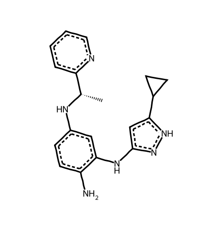 C[C@H](Nc1ccc(N)c(Nc2cc(C3CC3)[nH]n2)c1)c1ccccn1